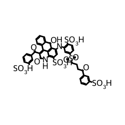 O=C(CCCS(=O)(=O)c1ccc(S(=O)(=O)O)c(Nc2cc(S(=O)(=O)O)c3[nH]c(=O)c(C(=O)c4cccc(S(=O)(=O)O)c4)c4c3c2C(=O)c2ccccc2-4)c1)c1cccc(S(=O)(=O)O)c1